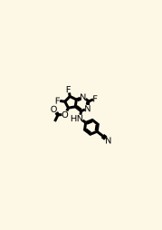 CC(=O)OC1c2c(Nc3ccc(C#N)cc3)nc(F)nc2C(F)C1F